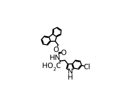 O=C(NC(Cc1c[nH]c2cc(Cl)ccc12)C(=O)O)OCC1c2ccccc2-c2ccccc21